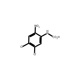 O=C(O)Nc1cc(Cl)c(Cl)cc1[N+](=O)[O-]